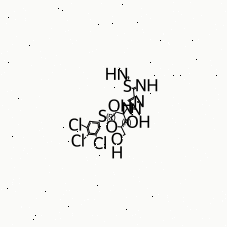 N=CSC(=N)c1cn(C2C(O)[C@@H](Sc3cc(Cl)c(Cl)c(Cl)c3)OC(CO)[C@@H]2O)nn1